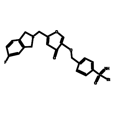 CCS(=N)(=O)c1ccc(COc2coc(CN3Cc4ccc(F)cc4C3)cc2=O)cc1